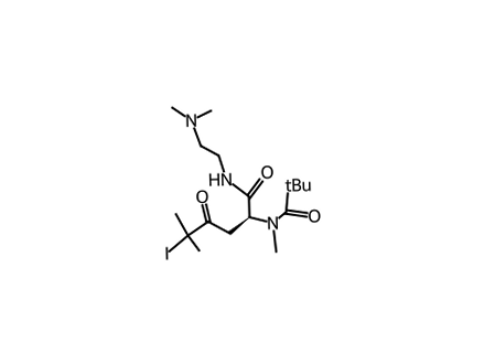 CN(C)CCNC(=O)[C@H](CC(=O)C(C)(C)I)N(C)C(=O)C(C)(C)C